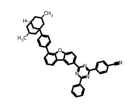 C[C@@H]1C[C@@H]2C[C@H](C)CC(c3ccc(-c4cccc5c4oc4ccc(-c6nc(-c7ccccc7)nc(-c7ccc(C#N)cc7)n6)cc45)cc3)(C1)C2